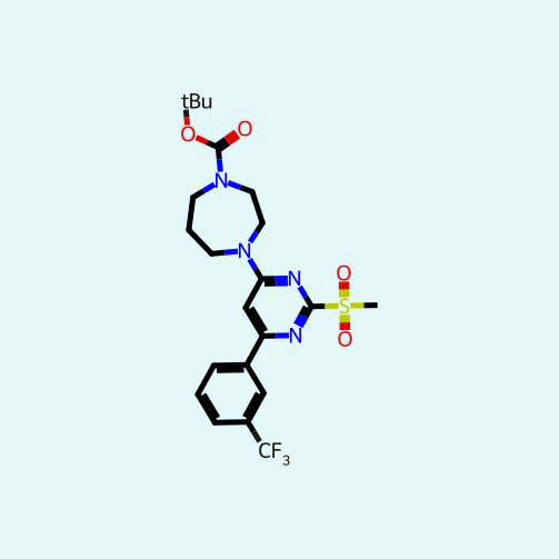 CC(C)(C)OC(=O)N1CCCN(c2cc(-c3cccc(C(F)(F)F)c3)nc(S(C)(=O)=O)n2)CC1